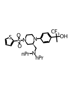 CCCN(CCC)C[C@H]1CN(S(=O)(=O)c2cccs2)CCN1c1ccc(C(C)(O)C(F)(F)F)cc1